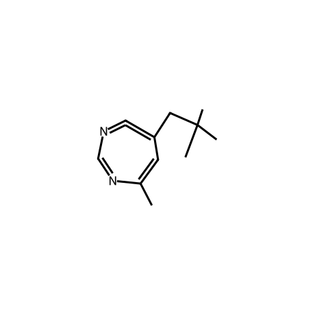 CC1=CC(CC(C)(C)C)=C=NC=N1